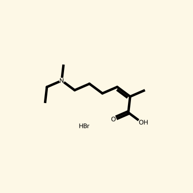 Br.CCN(C)CCCC=C(C)C(=O)O